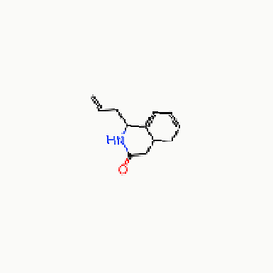 C=CCC1NC(=O)CC2CC=CC=C21